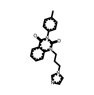 Cc1ccc(-n2c(=O)c3ccccc3n(CCCn3ccnc3)c2=O)cc1